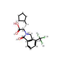 O=C(O)[C@H](CC1CCCC1)N1Cc2c(cccc2C(F)(F)F)C1=O